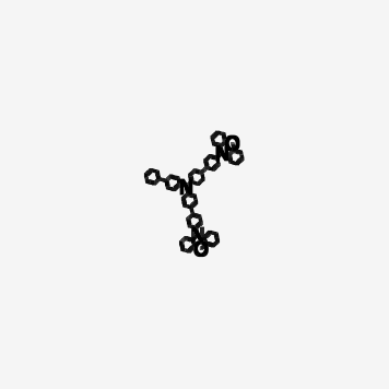 C1=C(c2ccc(N3c4ccccc4Oc4ccccc43)cc2)CCC(N(c2ccc(-c3ccccc3)cc2)c2ccc(-c3ccc(N4c5ccccc5Oc5ccccc54)cc3)cc2)=C1